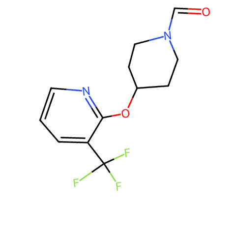 O=CN1CCC(Oc2ncccc2C(F)(F)F)CC1